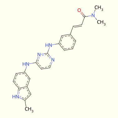 Cc1cc2cc(Nc3ccnc(Nc4cccc(/C=C/C(=O)N(C)C)c4)n3)ccc2[nH]1